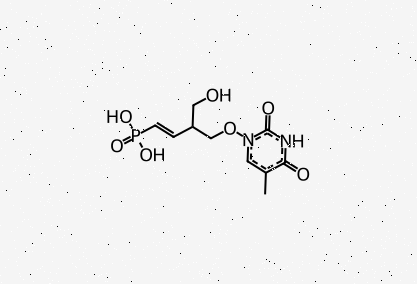 Cc1cn(OCC(/C=C/P(=O)(O)O)CO)c(=O)[nH]c1=O